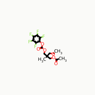 COCC(C)(COC(C)=O)COC(=O)Oc1c(F)c(F)c(F)c(F)c1F